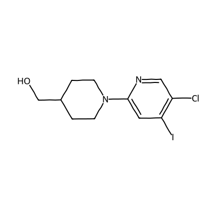 OCC1CCN(c2cc(I)c(Cl)cn2)CC1